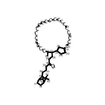 CC1CCCCCCCCCCCCCCCCCCCCC2CCC(C2)C1CCC(=O)CCCC1C2CCC(C2)C1(C)C